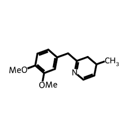 COc1ccc(CC2=NC=CC(C)C2)cc1OC